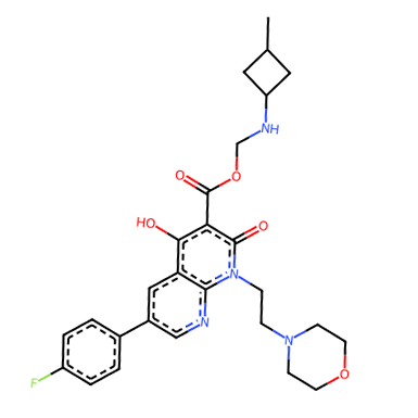 CC1CC(NCOC(=O)c2c(O)c3cc(-c4ccc(F)cc4)cnc3n(CCN3CCOCC3)c2=O)C1